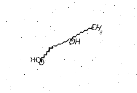 CCCCCCCCCCCC(O)CCCCCCCCCCCCCCCC(=O)O